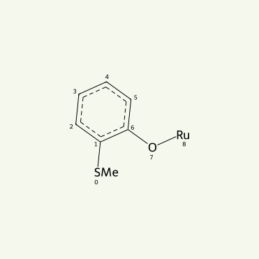 CSc1ccccc1[O][Ru]